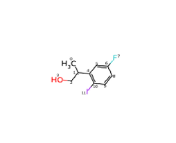 C[C](CO)c1cc(F)ccc1I